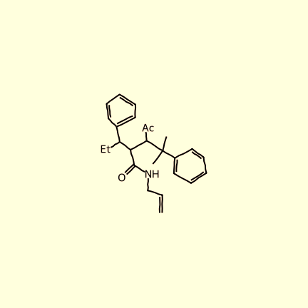 C=CCNC(=O)C(C(CC)c1ccccc1)C(C(C)=O)C(C)(C)c1ccccc1